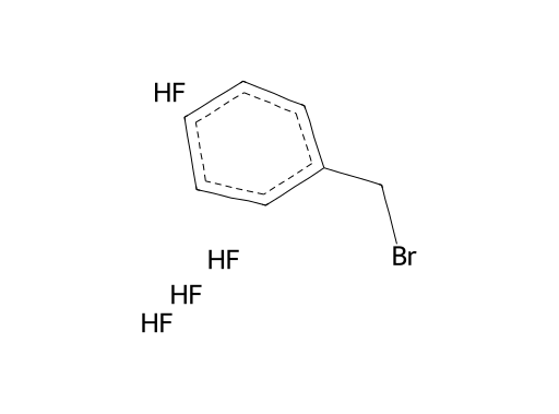 BrCc1ccccc1.F.F.F.F